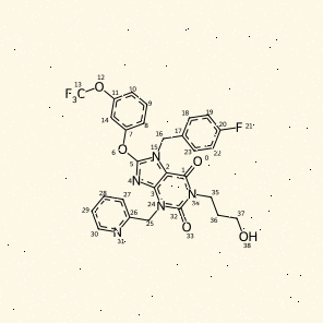 O=c1c2c(nc(Oc3cccc(OC(F)(F)F)c3)n2Cc2ccc(F)cc2)n(Cc2ccccn2)c(=O)n1CCCO